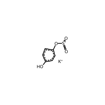 O=[S-](=O)Oc1ccc(O)cc1.[K+]